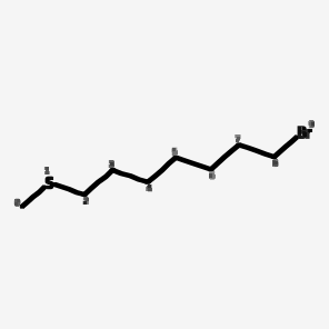 CSCCCCCCCBr